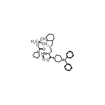 CC(C)(C)OC(=O)N1CSC[C@H]1C(=O)N[C@@H](CSCC1CCCCC1)C(=O)N1CCN(C(c2ccccc2)c2ccccc2)CC1